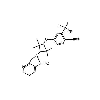 CC1(C)[C@H](Oc2ccc(C#N)c(C(F)(F)F)c2)C(C)(C)[C@H]1N1CC2=NCCC=C2C1=O